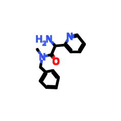 CN(Cc1ccccc1)C(=O)C(N)c1ccccn1